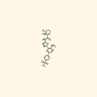 CC(C)S(=O)(=O)c1ccc(-c2cnc(N)c(-c3nnc(NC(=O)[C@H]4N[C@H]5CCC4C5)o3)n2)cc1